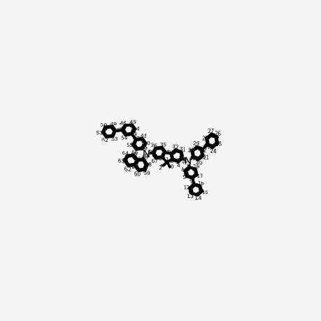 CC1(C)c2cc(N(c3ccc(-c4ccccc4)cc3)c3ccc(-c4ccccc4)cc3)ccc2-c2ccc(N(c3ccc(-c4cccc(-c5ccccc5)c4)cc3)c3cccc4ccccc34)cc21